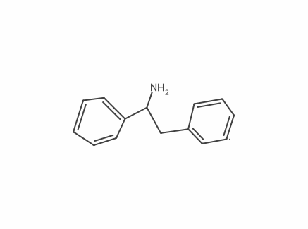 NC(Cc1c[c]ccc1)c1ccccc1